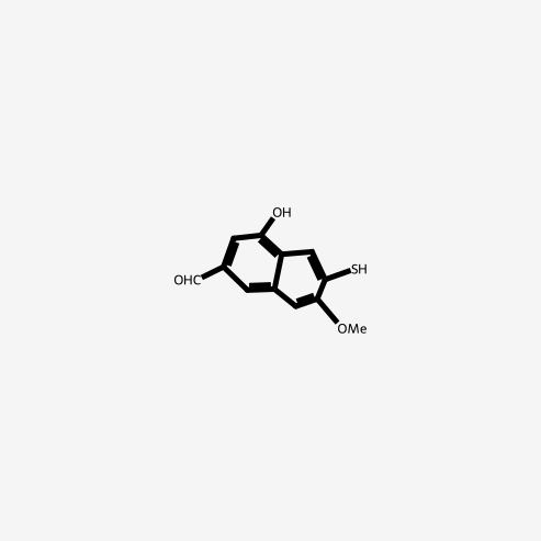 COc1cc2cc(C=O)cc(O)c2cc1S